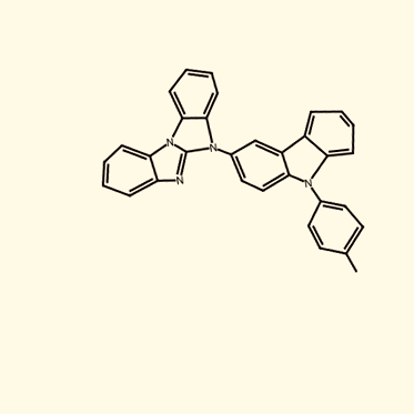 Cc1ccc(-n2c3ccccc3c3cc(-n4c5ccccc5n5c6ccccc6nc45)ccc32)cc1